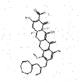 CCN(Cc1cc(O)c2c(c1OC)CC1C[C@H]3CC(O)=C(C(N)=O)C(=O)[C@@]3(O)C(O)=C1C2=O)CC1CCCCCC1